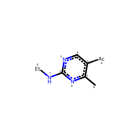 CCNc1ncc(C(C)=O)c(C)n1